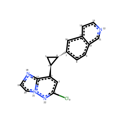 Clc1cc([C@H]2C[C@@H]2c2ccc3cnccc3c2)c2nccn2n1